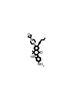 CCCC#Cc1cc2c(cc1N1CCN(C3COC3)CC1)C(C)(C)c1[nH]c3cc(N)ccc3c1C2=O